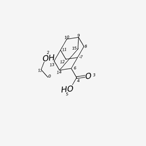 C[CH]O.O=C(O)C1[C]2CC3CC(C2)CC1C3